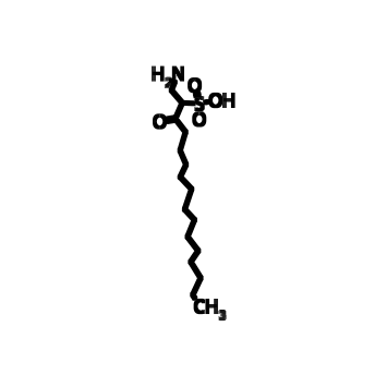 CCCCCCCCCCCCCC(=O)C(CN)S(=O)(=O)O